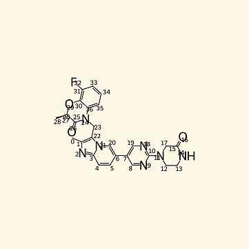 Cc1nc2ccc(-c3cnc(N4CCNC(=O)C4)nc3)cn2c1CN1C(=O)[C@@H](C)Oc2c(F)cccc21